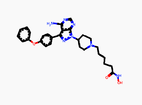 Nc1ncnc2c1c(-c1ccc(Oc3ccccc3)cc1)nn2C1CCN(CCCCCC(=O)NO)CC1